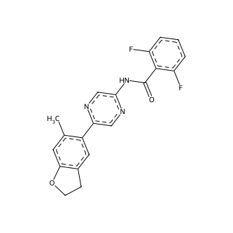 Cc1cc2c(cc1-c1cnc(NC(=O)c3c(F)cccc3F)cn1)CCO2